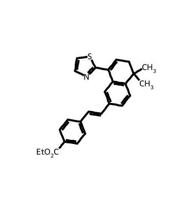 CCOC(=O)c1ccc(C=Cc2ccc3c(c2)C(c2nccs2)=CCC3(C)C)cc1